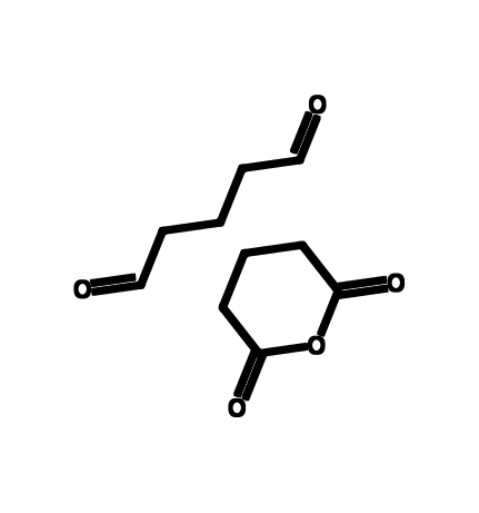 O=C1CCCC(=O)O1.O=CCCCC=O